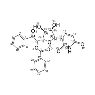 O=C(OC(C(=O)c1ccccc1)[C@H]1O[C@@H](n2ccc(=O)[nH]c2=O)[C@H](O)[C@@H]1O)c1ccccc1